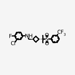 CC(C)([C@H]1C[C@H](CNc2ccc(F)c(Cl)c2)C1)S(=O)(=O)c1cccc(C(F)(F)F)c1